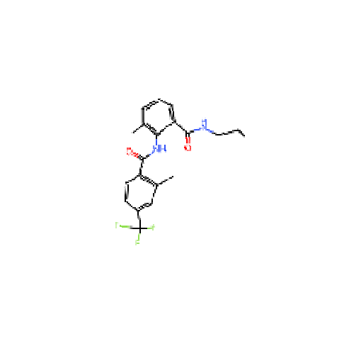 CCCNC(=O)c1cccc(C)c1NC(=O)c1ccc(C(F)(F)F)cc1C